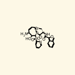 CC(C)C[C@H](NC(=O)c1occ2ccccc12)C(=O)N1CCC=CC(N)C(O)C1S(=O)(=O)c1ccccn1